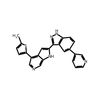 Cc1ccc(-c2cncc3[nH]c(-c4n[nH]c5ccc(-c6cccnc6)cc45)cc23)s1